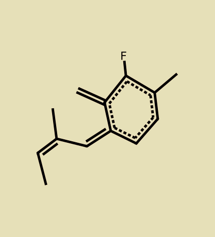 C=c1c(F)c(C)cc/c1=C/C(C)=C\C